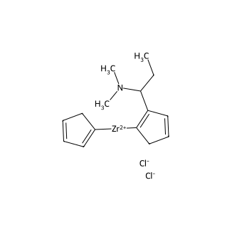 CCC(C1=[C]([Zr+2][C]2=CC=CC2)CC=C1)N(C)C.[Cl-].[Cl-]